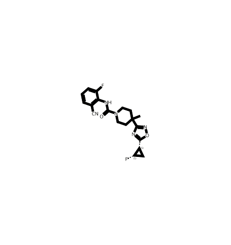 CC1(c2noc([C@@H]3C[C@@H]3F)n2)CCN(C(=O)Nc2c(F)cccc2C#N)CC1